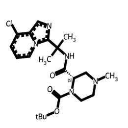 CN1CCN(C(=O)OC(C)(C)C)[C@H](C(=O)NC(C)(C)c2ncc3c(Cl)cccn23)C1